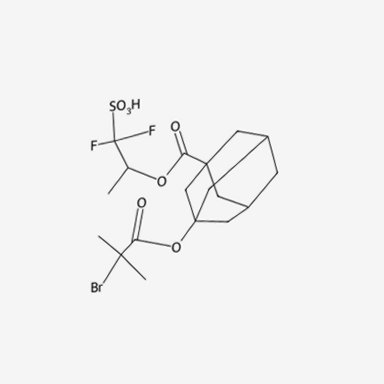 CC(OC(=O)C12CC3CC(CC(OC(=O)C(C)(C)Br)(C3)C1)C2)C(F)(F)S(=O)(=O)O